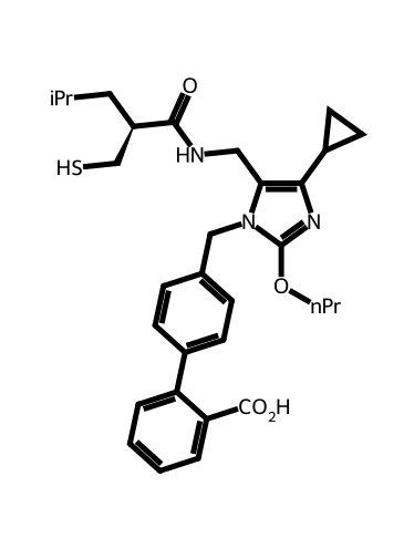 CCCOc1nc(C2CC2)c(CNC(=O)[C@@H](CS)CC(C)C)n1Cc1ccc(-c2ccccc2C(=O)O)cc1